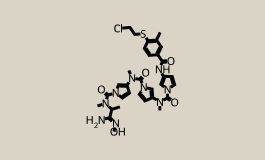 Cc1cc(C(=O)Nc2ccn(C(=O)N(C)c3ccn(C(=O)N(C)c4ccn(C(=O)N(C)C(C)C(N)=NO)c4)c3)c2)ccc1SCCCl